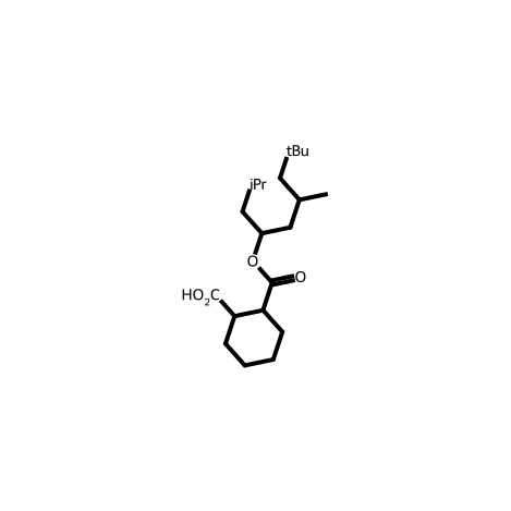 CC(C)CC(CC(C)CC(C)(C)C)OC(=O)C1CCCCC1C(=O)O